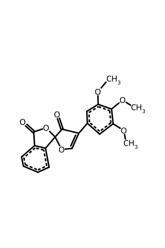 COc1cc(C2=COC3(OC(=O)c4ccccc43)C2=O)cc(OC)c1OC